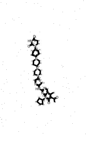 CC(=O)c1c(C)c2cnc(Nc3ccc(N4CCN(C5CCN(c6ccc(N7CCC(=O)NC7=O)cc6)CC5)CC4)cn3)nc2n(C2CCCC2)c1=O